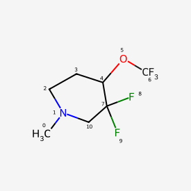 CN1CCC(OC(F)(F)F)C(F)(F)C1